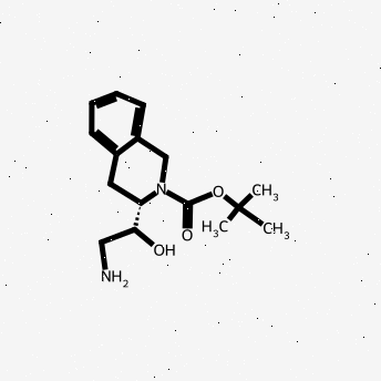 CC(C)(C)OC(=O)N1Cc2ccccc2C[C@H]1C(O)CN